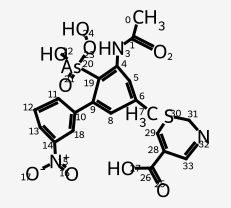 CC(=O)Nc1cc(C)cc(-c2cccc([N+](=O)[O-])c2)c1[As](=O)(O)OO.O=C(O)C1=CSCN=C1